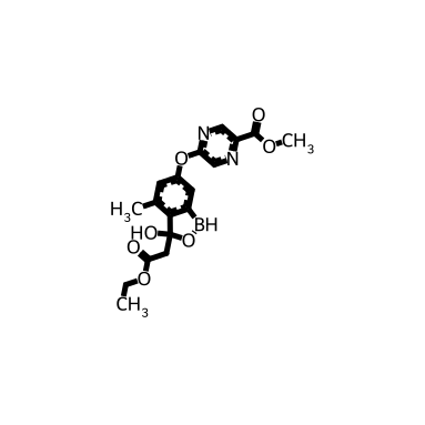 CCOC(=O)CC1(O)OBc2cc(Oc3cnc(C(=O)OC)cn3)cc(C)c21